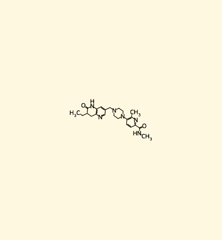 CCC1Cc2ncc(CN3CCN(c4ccc(C(=O)NC)nc4C)CC3)cc2NC1=O